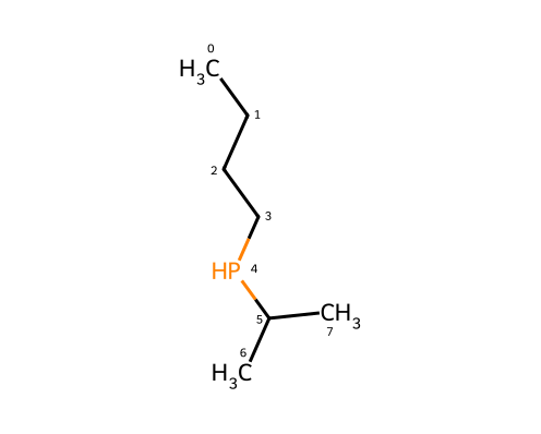 CCCCPC(C)C